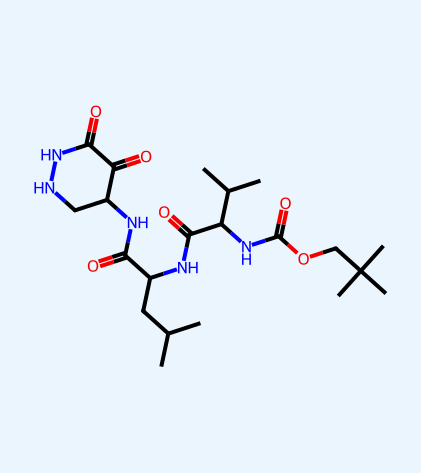 CC(C)CC(NC(=O)C(NC(=O)OCC(C)(C)C)C(C)C)C(=O)NC1CNNC(=O)C1=O